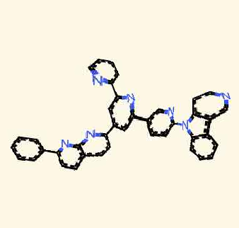 c1ccc(-c2ccc3ccc(-c4cc(-c5ccc(-n6c7ccccc7c7cnccc76)nc5)nc(-c5ccccn5)c4)nc3n2)cc1